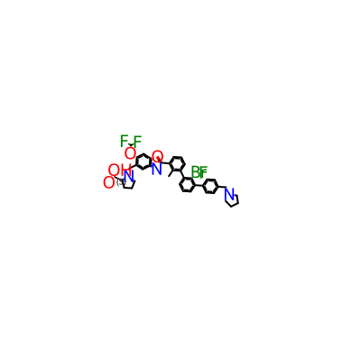 Cc1c(-c2nc3cc(CN4CCC[C@H]4C(=O)O)c(OC(F)F)cc3o2)cccc1-c1cccc(-c2ccc(CN3CCCC3)cc2F)c1Br